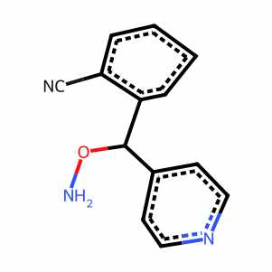 N#Cc1ccccc1C(ON)c1ccncc1